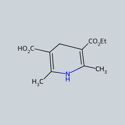 CCOC(=O)C1=C(C)NC(C)=C(C(=O)O)C1